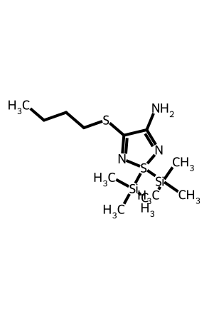 CCCCSC1=NS([Si](C)(C)C)([Si](C)(C)C)N=C1N